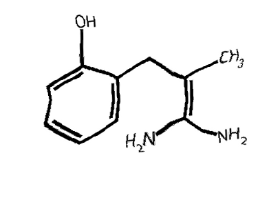 CC(Cc1ccccc1O)=C(N)N